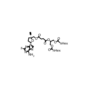 C#C[C@@]1(COC(=O)CCC(=O)OC(COC(=O)CCCCCC)COC(=O)CCCCCC)CC[C@H](n2cnc3c(N)nc(F)nc32)O1